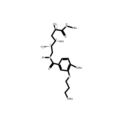 CCCCNC(=O)[C@H](C)C[C@H](O)[C@@H](N)CN(C(=O)c1ccc(OC)c(OCCCOC)c1)C(C)C